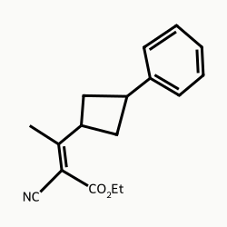 CCOC(=O)/C(C#N)=C(/C)C1CC(c2ccccc2)C1